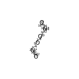 C[N+](C)(CCCOCCOCCC[N+](C)(C)CC1CO1)CC1CO1